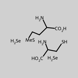 CSCCC(N)C(=O)O.NC(CS)C(=O)O.[SeH2].[SeH2]